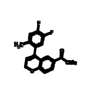 COC(=O)c1ccc2c(c1)C(c1cc(F)c(F)cc1C)=CCO2